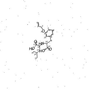 C=CCOc1cccc(CC(NC(CC(C)C)C(=O)O)C(=O)O)c1